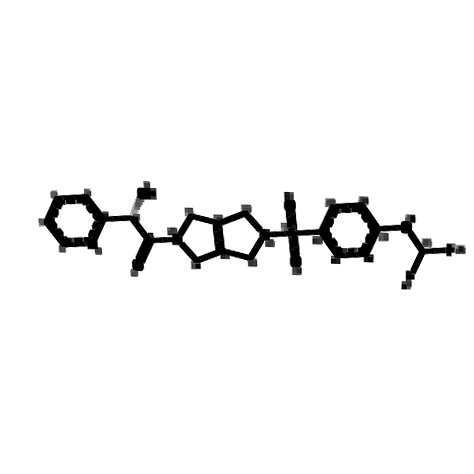 O=C([C@@H](O)c1ccccn1)N1CC2=C(C1)CN(S(=O)(=O)c1ccc(OC(F)F)cc1)C2